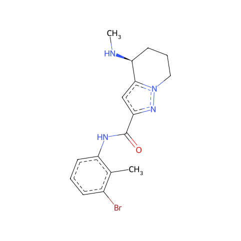 CN[C@H]1CCCn2nc(C(=O)Nc3cccc(Br)c3C)cc21